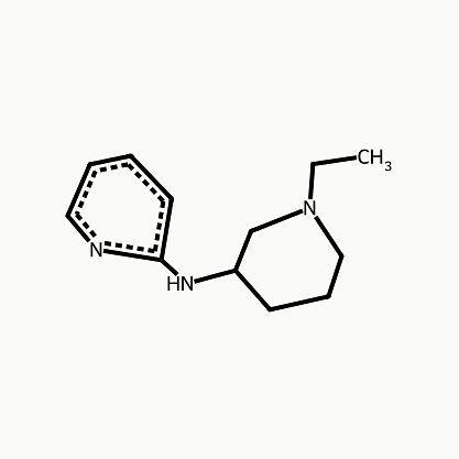 CCN1CCCC(Nc2ccccn2)C1